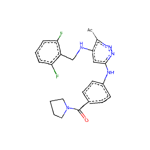 CC(=O)c1nnc(Nc2ccc(C(=O)N3CCCC3)cc2)cc1NCc1c(F)cccc1F